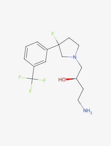 NCC[C@@H](O)CN1CCC(F)(c2cccc(C(F)(F)F)c2)C1